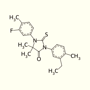 CCc1cc(N2C(=O)C(C)(C)N(c3ccc(C)c(F)c3)C2=S)ccc1C